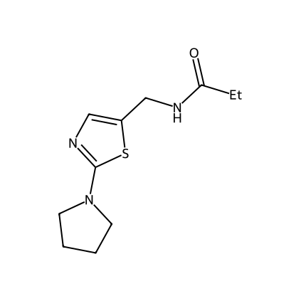 CCC(=O)NCc1cnc(N2CCCC2)s1